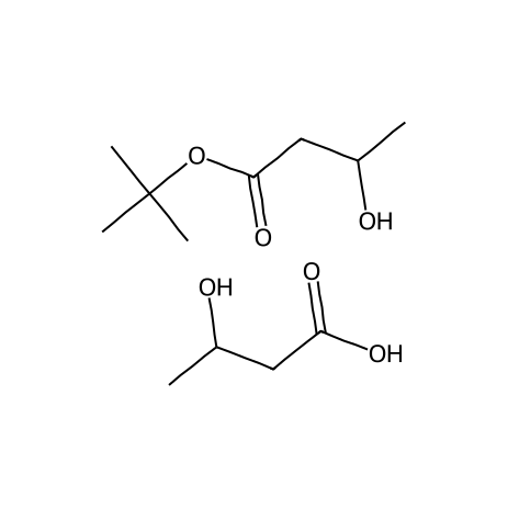 CC(O)CC(=O)O.CC(O)CC(=O)OC(C)(C)C